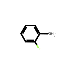 Fc1ccccc1[SiH2]